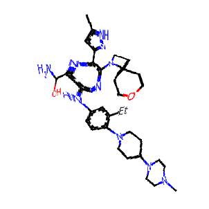 CCc1cc(Nc2nc(N3CCC34CCOCC4)c(-c3cc(C)[nH]n3)nc2C(N)O)ccc1N1CCC(N2CCN(C)CC2)CC1